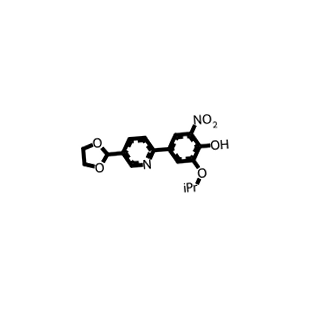 CC(C)Oc1cc(-c2ccc(C3OCCO3)cn2)cc([N+](=O)[O-])c1O